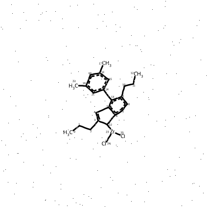 CCCC1=Cc2c(ccc(CCC)c2-c2cc(C)cc(C)c2)[CH]1[Zr]([Cl])[Cl]